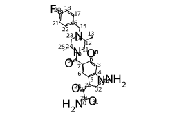 COc1cc2c(cc1C(=O)N1C[C@H](C)N(Cc3ccc(F)cc3)C[C@H]1C)C(C(=O)C(N)=O)CN2N